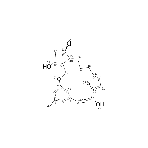 Cc1cc(C)cc(OCC2C(O)C[C@@H](Cl)[C@@H]2CCCc2ccc(C(=O)O)s2)c1